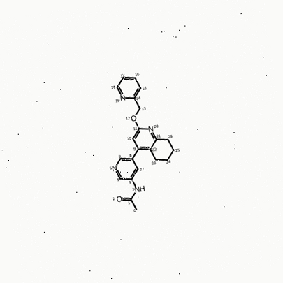 CC(=O)Nc1cncc(-c2cc(OCc3ccccn3)nc3c2CCCC3)c1